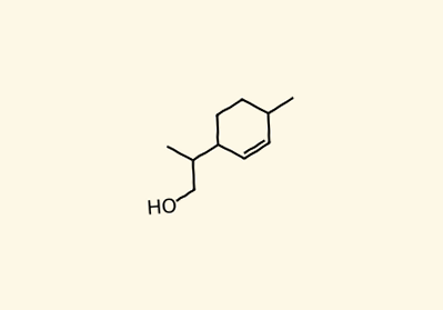 CC1C=CC(C(C)CO)CC1